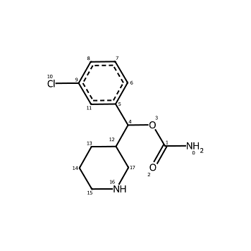 NC(=O)OC(c1cccc(Cl)c1)C1CCCNC1